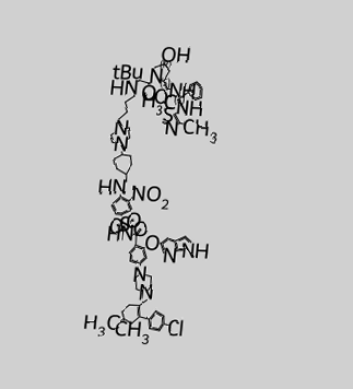 Cc1ncsc1N[C@](C)(NC(=O)[C@@H]1C[C@@H](O)CN1C(=O)C(NCCCCN1CCN(C2CCC(CNc3ccc(S(=O)(=O)NC(=O)c4ccc(N5CCN(CC6=C(c7ccc(Cl)cc7)CC(C)(C)CC6)CC5)cc4Oc4cnc5[nH]ccc5c4)cc3[N+](=O)[O-])CC2)CC1)C(C)(C)C)c1ccccc1